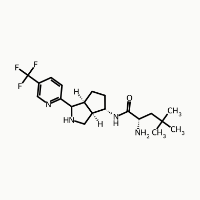 CC(C)(C)C[C@H](N)C(=O)N[C@H]1CC[C@@H]2C(c3ccc(C(F)(F)F)cn3)NC[C@H]12